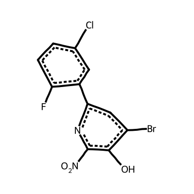 O=[N+]([O-])c1nc(-c2cc(Cl)ccc2F)cc(Br)c1O